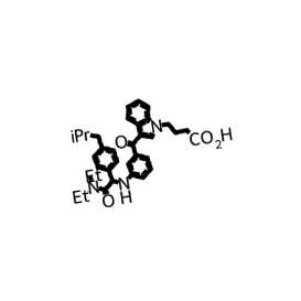 CCN(CC)C(=O)C(Nc1cccc(C(=O)c2cn(CCCC(=O)O)c3ccccc23)c1)c1ccc(CC(C)C)cc1